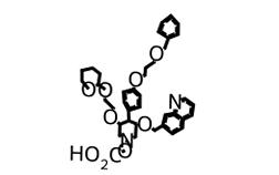 O=C(O)ON1CC(OCCOC2CCCCO2)C(c2ccc(OCCCOCc3ccccc3)cc2)C(OCc2ccc3cccnc3c2)C1